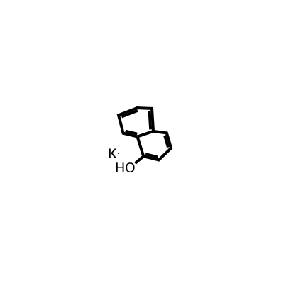 Oc1cccc2ccccc12.[K]